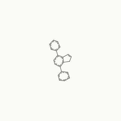 C1=Cc2c(-c3ccccc3)ccc(-c3ccccc3)c2C1